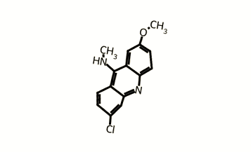 CNc1c2ccc(Cl)cc2nc2ccc(OC)cc12